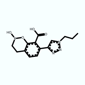 CCCn1cc(-c2ccc3c(c2C(=O)O)OB(O)CC3)nn1